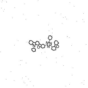 c1ccc(-c2nc(-c3ccc4oc5c(ccc6c7ccccc7n(-c7ccccc7)c65)c4c3)nc(-c3cccc4oc5ccccc5c34)n2)cc1